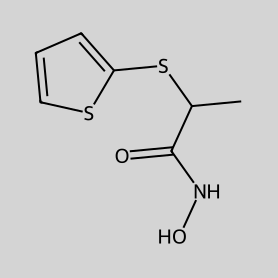 CC(Sc1cccs1)C(=O)NO